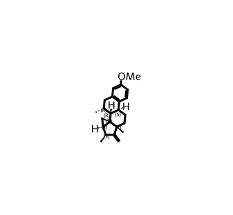 C=C1[C@@H](C)[C@H]2C[C@]23[C@@H]2[C@H](C)Cc4cc(OC)ccc4[C@H]2CC[C@]13C